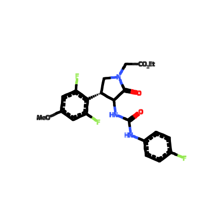 CCOC(=O)CN1C[C@@H](c2c(F)cc(OC)cc2F)C(NC(=O)Nc2ccc(F)cc2)C1=O